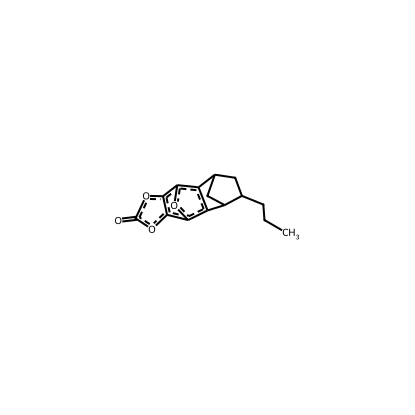 CCCC1CC2CC1c1c2c2oc1c1oc(=O)oc21